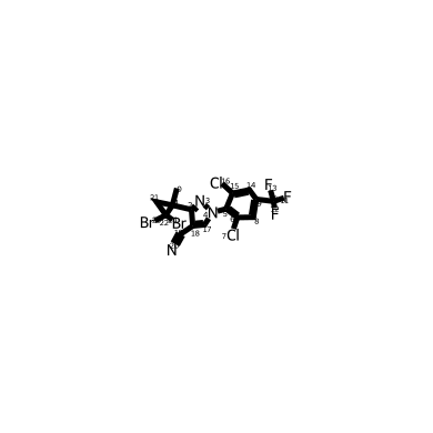 CC1(c2nn(-c3c(Cl)cc(C(F)(F)F)cc3Cl)cc2C#N)CC1(Br)Br